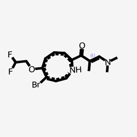 C/C(=C\N(C)C)C(=O)c1cccc(OCC(F)F)c(Br)cc[nH]1